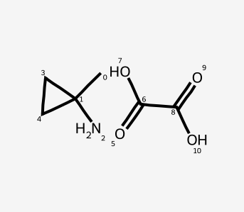 CC1(N)CC1.O=C(O)C(=O)O